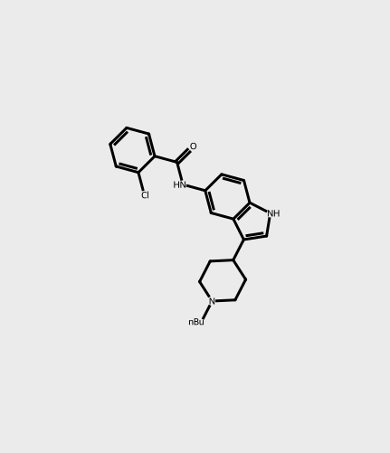 CCCCN1CCC(c2c[nH]c3ccc(NC(=O)c4ccccc4Cl)cc23)CC1